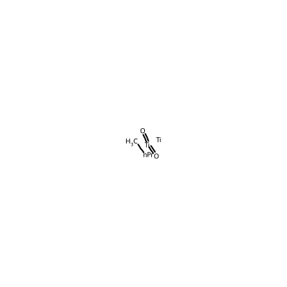 CCCC.[O]=[Ti]=[O].[Ti]